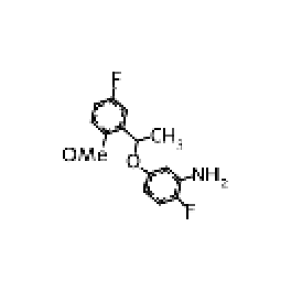 COc1ccc(F)cc1C(C)Oc1ccc(F)c(N)c1